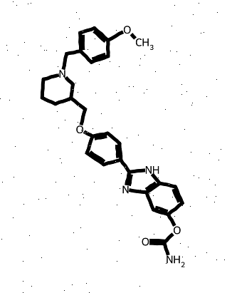 COc1ccc(CN2CCCC(COc3ccc(-c4nc5cc(OC(N)=O)ccc5[nH]4)cc3)C2)cc1